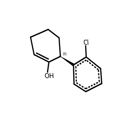 OC1=CCCC[C@H]1c1ccccc1Cl